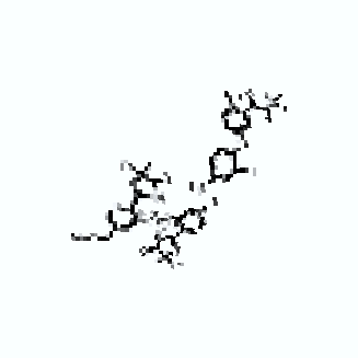 CCc1cnc(C2=NC(C)(C(C)C)C(=O)N2)c(C(=O)O)c1.COCc1cnc(C2=NC(C)(C(C)C)C(=O)N2)c(C(=O)O)c1.CS(=O)(=O)NC(=O)c1cc(Oc2ccc(C(F)(F)F)cc2Cl)ccc1[N+](=O)[O-]